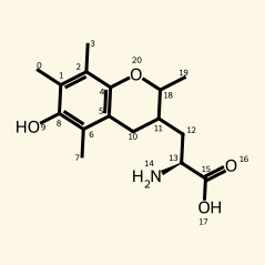 Cc1c(C)c2c(c(C)c1O)CC(C[C@H](N)C(=O)O)C(C)O2